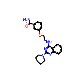 NC(=O)c1cccc(OCCNc2nc(N3CCCCC3)nc3ccccc23)c1